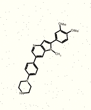 COc1ccc(-c2cc3ncc(-c4ccc(N5CCNCC5)cc4)cc3n2C)cc1OC